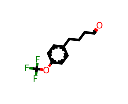 O=CCCCc1ccc(OC(F)(F)F)cc1